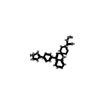 CC(C)(C)OC(=O)N1CCC2(C=C(c3ccc(-c4nn[nH]n4)cc3)c3ccccc3O2)CC1